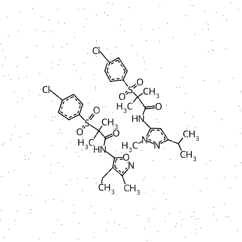 CC(C)c1cc(NC(=O)C(C)(C)S(=O)(=O)c2ccc(Cl)cc2)n(C)n1.CCc1c(C)noc1NC(=O)C(C)(C)S(=O)(=O)c1ccc(Cl)cc1